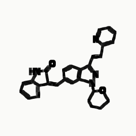 O=C1Nc2ccccc2C1=Cc1ccc2c(C=Cc3ccccn3)nn(C3CCCCO3)c2c1